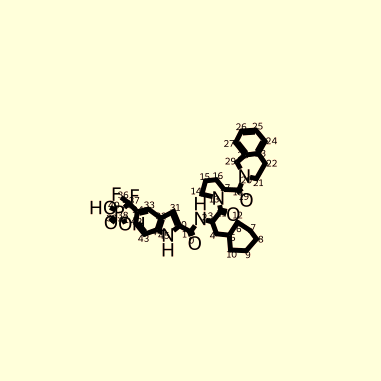 O=C(NC(CC1CCCCC1)C(=O)N1CCCC1C(=O)N1CCc2ccccc2C1)c1cc2cc(C(F)(F)P(=O)(O)O)ccc2[nH]1